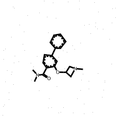 CN1CC(Oc2cc(-c3ccccc3)ccc2C(=O)N(C)C)C1